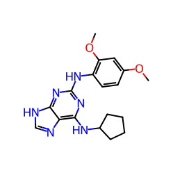 COc1ccc(Nc2nc(NC3CCCC3)c3nc[nH]c3n2)c(OC)c1